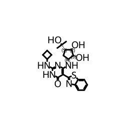 CC(C)(O)[C@H]1C[C@@H](Nc2nc(NC3CCC3)[nH]c(=O)c2-c2nc3ccccc3s2)[C@H](O)[C@@H]1O